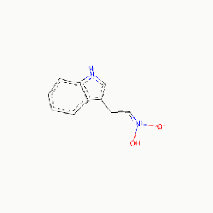 [O-][N+](O)=CCc1c[nH]c2ccccc12